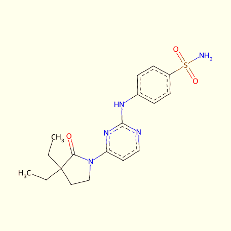 CCC1(CC)CCN(c2ccnc(Nc3ccc(S(N)(=O)=O)cc3)n2)C1=O